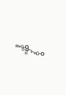 COC(=O)c1cccc2c(CSCCN3CC=C(c4ccccc4)CC3)c[nH]c12